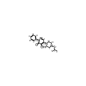 CC(C)SN1CCN(c2cnn(-c3ccccc3)c(=O)c2O)CC1